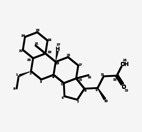 CC[C@H]1CC2C3CCC([C@H](C)CC(=O)O)C3(C)CC[C@@H]2C2(C)CCCCC12